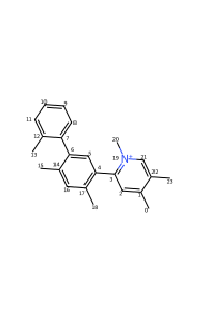 Cc1cc(-c2cc(-c3ccccc3C)c(C)cc2C)[n+](C)cc1C